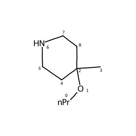 CCCOC1(C)CCNCC1